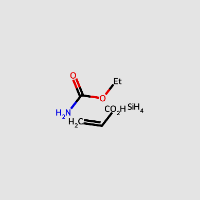 C=CC(=O)O.CCOC(N)=O.[SiH4]